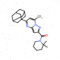 CC1(C)CCCCN1C(=O)c1cc2nc(C34CC5CC(CC(C5)C3)C4)cc(C(F)(F)F)n2n1